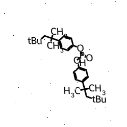 CC(C)(C)CC(C)(C)c1ccc(O[PH](=O)Oc2ccc(C(C)(C)CC(C)(C)C)cc2)cc1